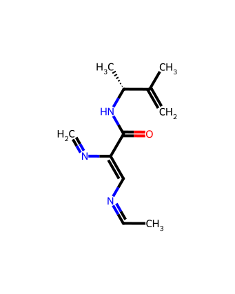 C=N/C(=C\N=C/C)C(=O)N[C@H](C)C(=C)C